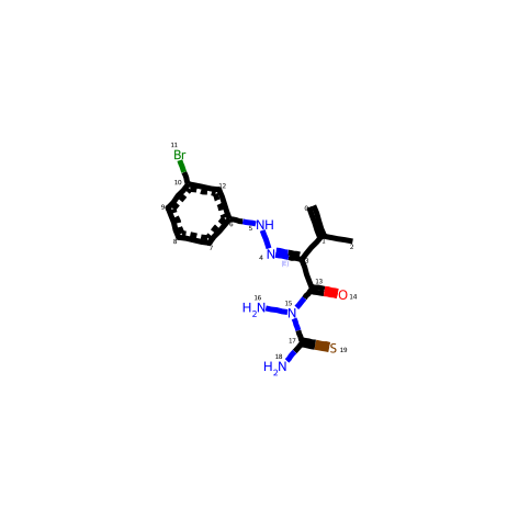 C=C(C)/C(=N\Nc1cccc(Br)c1)C(=O)N(N)C(N)=S